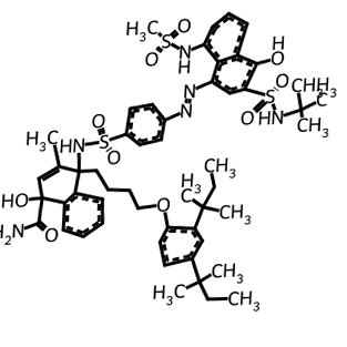 CCC(C)(C)c1ccc(OCCCCC2(NS(=O)(=O)c3ccc(N=Nc4cc(S(=O)(=O)NC(C)(C)C)c(O)c5cccc(NS(C)(=O)=O)c45)cc3)C(C)=CC(O)(C(N)=O)c3ccccc32)c(C(C)(C)CC)c1